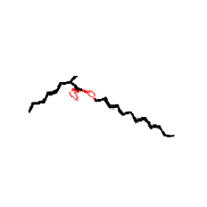 CCCC=CC=C(C)C(=O)OCCCCCCCCCCCC